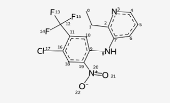 CCc1ncccc1Nc1cc(C(F)(F)F)c(Cl)cc1[N+](=O)[O-]